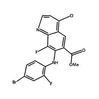 COC(=O)c1cc2c(Cl)ccnc2c(F)c1Nc1ccc(Br)cc1F